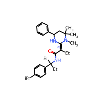 CC/C(C(=O)NC(CC)(CC)c1ccc(C(C)C)cc1)=C1/NC(c2ccccc2)CC(C)(C)N1C